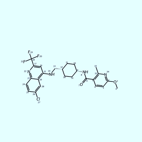 COc1ccc(C(=O)N[C@H]2CC[C@@H](CNc3cc(C(F)(F)F)nc4ccc(Cl)cc34)CC2)c(C)n1